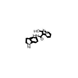 O=C(Nc1ccc2[nH]ccc2c1)c1c(O)nn2ccccc12